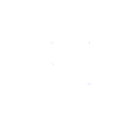 CC(O[Si](C(C)C)(C(C)C)C(C)C)c1nc2cccc(Cl)c2c(=O)n1-c1cccc([N+](=O)[O-])c1